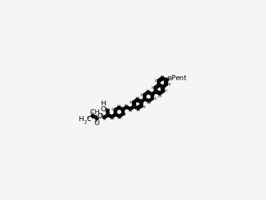 C=C(C)C(=O)OCC(CO)CC1CCC(CCc2ccc(C3CCC(c4ccc5cc(CCCCC)ccc5c4)CC3)cc2)CC1